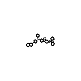 c1ccc(N(c2ccc(-c3ccc4ccccc4c3)cc2)c2ccc3c(c2)oc2cc(-n4c5ccccc5c5ccccc54)ccc23)cc1